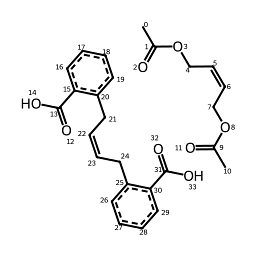 CC(=O)OC/C=C\COC(C)=O.O=C(O)c1ccccc1C/C=C\Cc1ccccc1C(=O)O